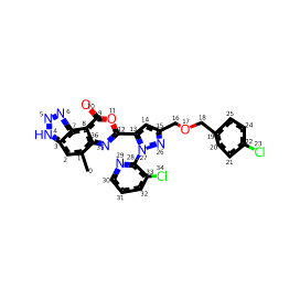 Cc1cc2[nH]nnc2c2c(=O)oc(-c3cc(COCc4ccc(Cl)cc4)nn3-c3ncccc3Cl)nc12